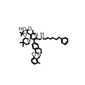 Cc1cccc(Cl)c1CN1CCc2cc(-c3c(CNCCCCCCc4ccccc4)nc(C)c(C(OC(C)(C)C)C(=O)O)c3N3CCC(C)(C)CC3)ccc2C1